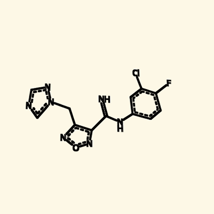 N=C(Nc1ccc(F)c(Cl)c1)c1nonc1Cn1cncn1